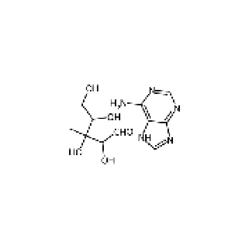 CC(O)(C(O)C=O)C(O)CO.Nc1ncnc2nc[nH]c12